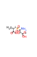 CC(CP(=O)(O)C(N)CC(=O)O)C(=O)O